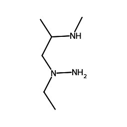 CCN(N)CC(C)NC